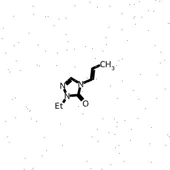 C/C=C/n1cnn(CC)c1=O